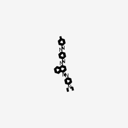 CCN(CC)c1ccc(N=Nc2ccc(N=Nc3ccc(N=Nc4ccc(C)cc4)cc3)c3ccccc23)cc1